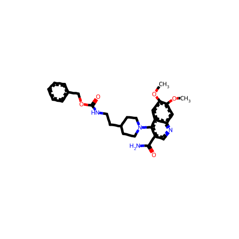 COc1cc2ncc(C(N)=O)c(N3CCC(CCNC(=O)OCc4ccccc4)CC3)c2cc1OC